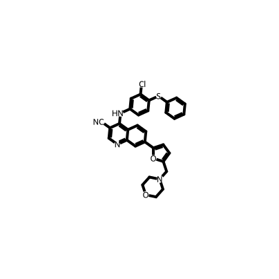 N#Cc1cnc2cc(-c3ccc(CN4CCOCC4)o3)ccc2c1Nc1ccc(Sc2ccccc2)c(Cl)c1